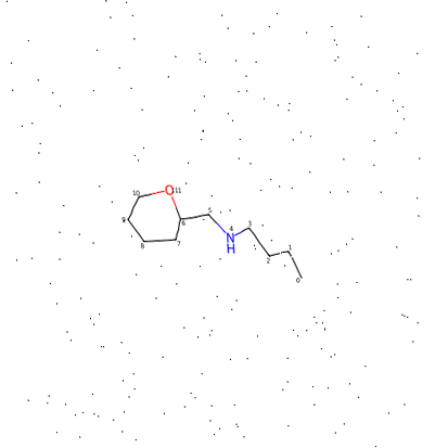 CCCCNCC1CCCCO1